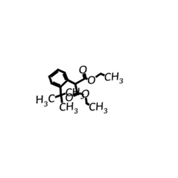 CCOC(=O)C(C(=O)OCC)c1ccccc1C(C)(C)C